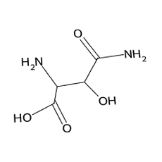 NC(=O)C(O)C(N)C(=O)O